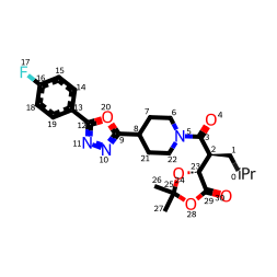 CC(C)C[C@H](C(=O)N1CCC(c2nnc(-c3ccc(F)cc3)o2)CC1)[C@H]1OC(C)(C)OC1=O